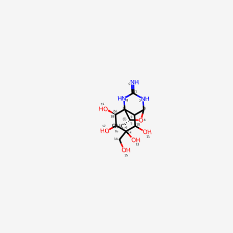 N=C1NC2O[C@H](C=O)C3(N1)C2C(O)C(O)(CO)C(O)[C@H]3O